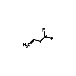 C=C[CH]N(F)F